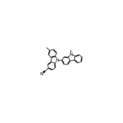 Cc1ccc2c(c1)c1cc(C#N)ccc1n2-c1ccc2c3ccccc3n(C)c2c1